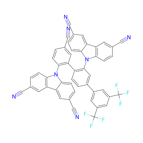 N#Cc1ccc(-n2c3ccc(C#N)cc3c3cc(C#N)ccc32)c(-c2ccc(-c3cc(C(F)(F)F)cc(C(F)(F)F)c3)cc2-n2c3ccc(C#N)cc3c3cc(C#N)ccc32)c1